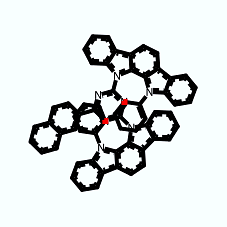 C1=CC(n2c3ccccc3c3ccc4c5ccccc5n(-c5nc(-c6ccc7ccccc7c6)nc(-n6c7ccccc7c7ccc8c9ccccc9n(-c9ccccc9)c8c76)n5)c4c32)=CCC1